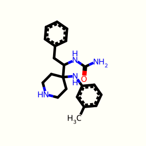 Cc1cccc(NC2(C(Cc3ccccc3)NC(N)=O)CCNCC2)c1